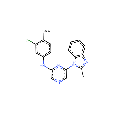 COc1ccc(Nc2cncc(-n3c(C)nc4ccccc43)n2)cc1Cl